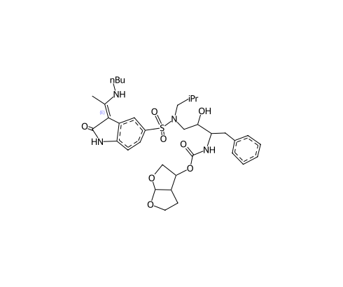 CCCCN/C(C)=C1/C(=O)Nc2ccc(S(=O)(=O)N(CC(C)C)CC(O)C(Cc3ccccc3)NC(=O)OC3COC4OCCC34)cc21